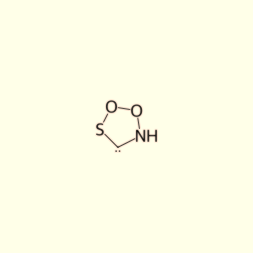 [C]1NOOS1